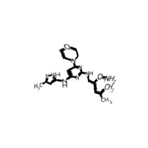 C=C(C)/C=C(/CNc1nc(Nc2cc(C)n[nH]2)cc(N2CCOCC2)n1)ON